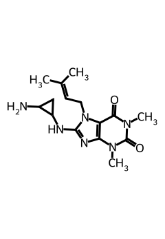 CC(C)=CCn1c(NC2CC2N)nc2c1c(=O)n(C)c(=O)n2C